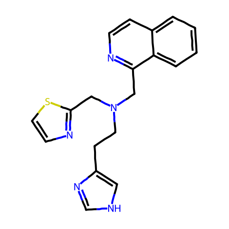 c1ccc2c(CN(CCc3c[nH]cn3)Cc3nccs3)nccc2c1